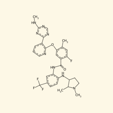 CNc1ncnc(-c2cccnc2Oc2cc(C(=O)Nc3cc(C(F)(F)F)ccc3NC3CCN(C)C3C)c(F)cc2C)n1